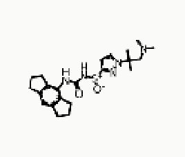 CN(C)CC(C)(C)n1ccc([S+]([O-])NC(=O)Nc2c3c(cc4c2CCC4)CCC3)n1